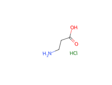 Cl.NCCC(=O)O